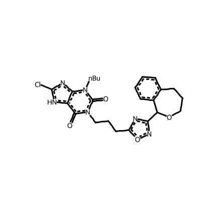 CCCCn1c(=O)n(CCCc2nc(C3OCCCc4ccccc43)no2)c(=O)c2[nH]c(Cl)nc21